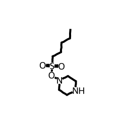 CCCCCS(=O)(=O)ON1CCNCC1